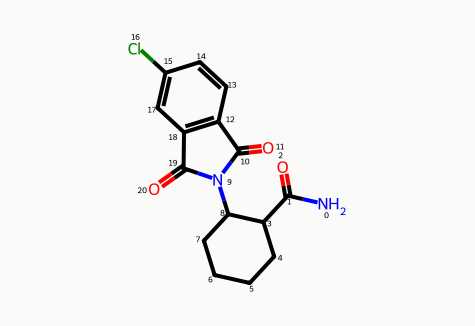 NC(=O)C1CCCCC1N1C(=O)c2ccc(Cl)cc2C1=O